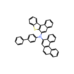 c1ccc(-c2ccc(N(c3cc4ccc5ccccc5c4c4ccccc34)c3cc4ccccc4c4c3sc3ccccc34)cc2)cc1